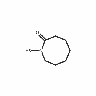 O=C1CCCCCCN1S